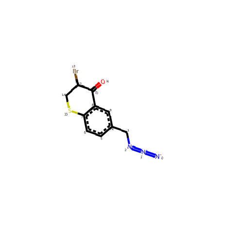 [N-]=[N+]=NCc1ccc2c(c1)C(=O)C(Br)CS2